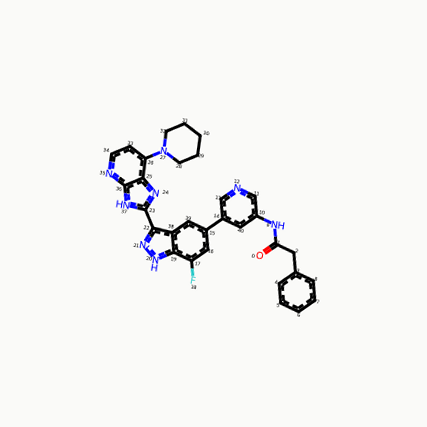 O=C(Cc1ccccc1)Nc1cncc(-c2cc(F)c3[nH]nc(-c4nc5c(N6CCCCC6)ccnc5[nH]4)c3c2)c1